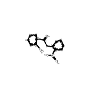 O=C(Cc1ccccc1[N+](=O)[O-])c1ccccc1O